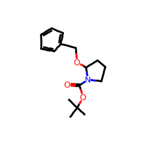 CC(C)(C)OC(=O)N1CCCC1OCc1ccccc1